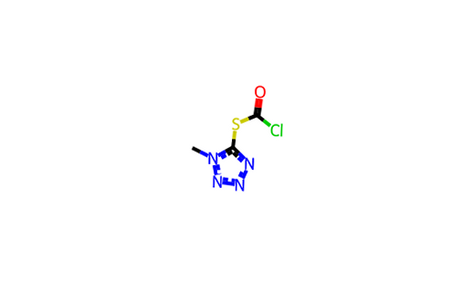 Cn1nnnc1SC(=O)Cl